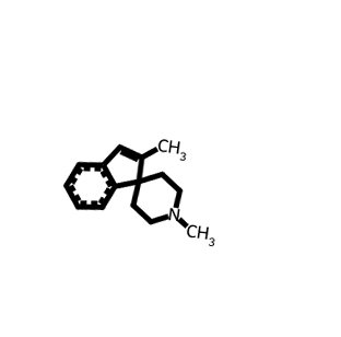 CC1=Cc2ccccc2C12CCN(C)CC2